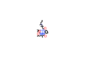 C=CC/C(C)=C/C(C)(C)CC(=O)Nc1ccccc1NC(=O)C(C)C(CC=C)NC(=O)OC(C)(C)C